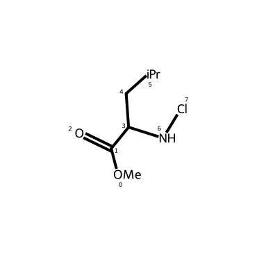 COC(=O)C(CC(C)C)NCl